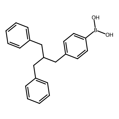 OB(O)c1ccc(CC(Cc2ccccc2)Cc2ccccc2)cc1